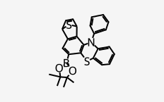 CC1(C)OB(c2cc3c(c4c2Sc2ccccc2N4c2ccccc2)C2C=CC3S2)OC1(C)C